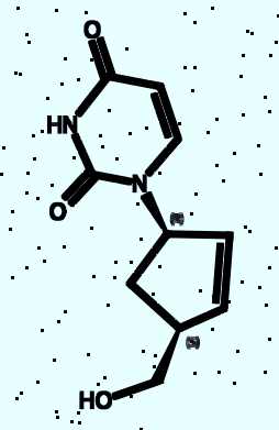 O=c1ccn([C@H]2C=C[C@@H](CO)C2)c(=O)[nH]1